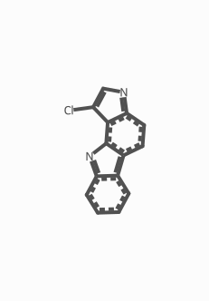 ClC1=CN=c2ccc3c(c21)N=c1ccccc1=3